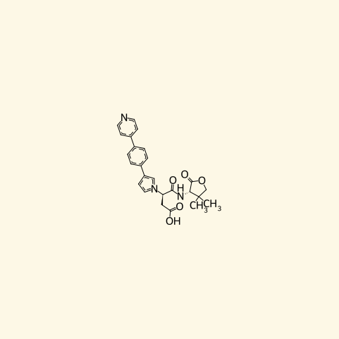 CC1(C)COC(=O)[C@H]1NC(=O)[C@@H](CC(=O)O)n1ccc(-c2ccc(-c3ccncc3)cc2)c1